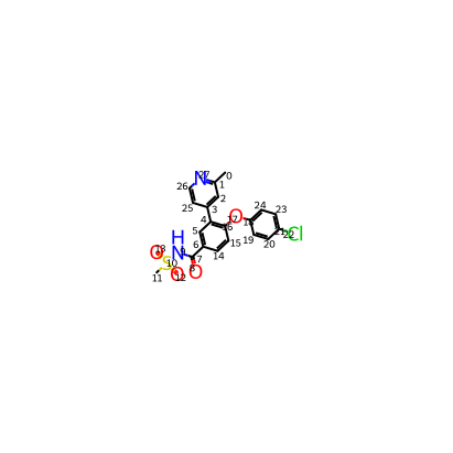 Cc1cc(-c2cc(C(=O)NS(C)(=O)=O)ccc2Oc2ccc(Cl)cc2)ccn1